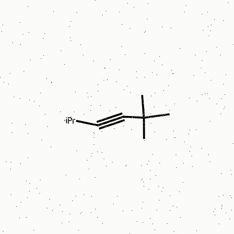 C[C](C)C#CC(C)(C)C